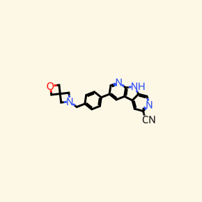 N#Cc1cc2c(cn1)[nH]c1ncc(-c3ccc(CN4CC5(COC5)C4)cc3)cc12